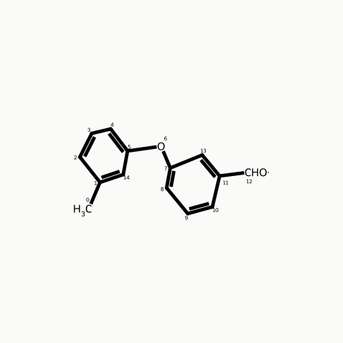 Cc1cccc(Oc2cccc([C]=O)c2)c1